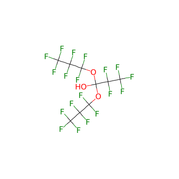 OC(OC(F)(F)C(F)(F)C(F)(F)F)(OC(F)(F)C(F)(F)C(F)(F)F)C(F)(F)C(F)(F)F